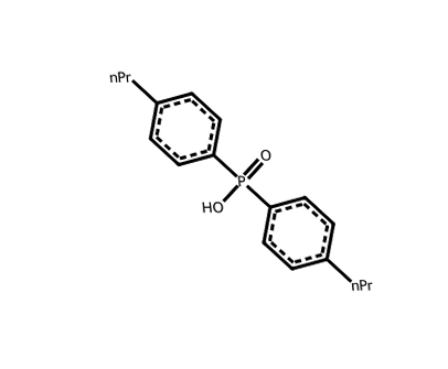 CCCc1ccc(P(=O)(O)c2ccc(CCC)cc2)cc1